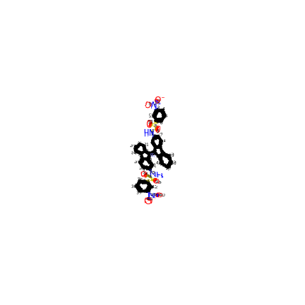 O=[N+]([O-])c1cccc(S(=O)(=O)Nc2ccc3c(c2)/C(=C2\c4ccccc4-c4ccc(NS(=O)(=O)c5cccc([N+](=O)[O-])c5)cc42)c2ccccc2-3)c1